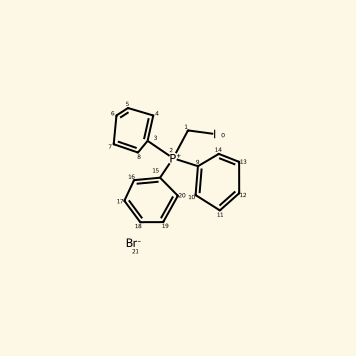 IC[P+](c1ccccc1)(c1ccccc1)c1ccccc1.[Br-]